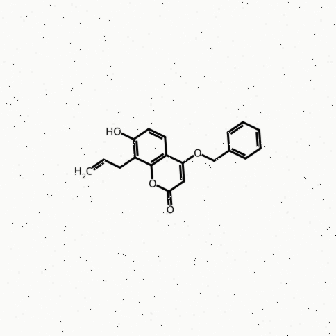 C=CCc1c(O)ccc2c(OCc3ccccc3)cc(=O)oc12